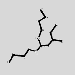 CCCCOC(CC(C)CC)OCCCC